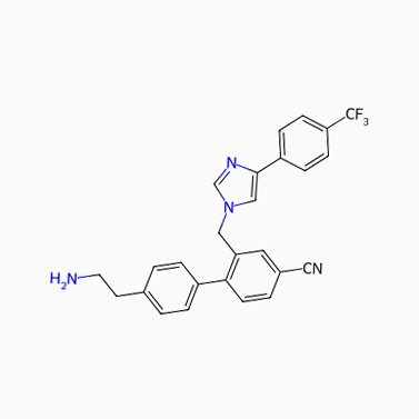 N#Cc1ccc(-c2ccc(CCN)cc2)c(Cn2cnc(-c3ccc(C(F)(F)F)cc3)c2)c1